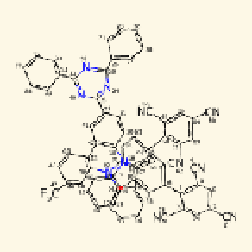 N#Cc1cc(C#N)c(-c2ccc3c(c2)c2ccccc2n3-c2ccc(-c3nc(-c4ccccc4)nc(-c4ccccc4)n3)cc2-c2ccc(C(F)(F)F)cc2-n2c3ccccc3c3cc(-c4c(C#N)cc(C#N)cc4C#N)ccc32)c(C#N)c1